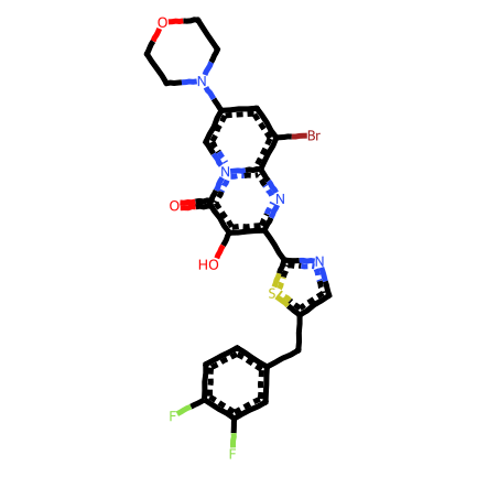 O=c1c(O)c(-c2ncc(Cc3ccc(F)c(F)c3)s2)nc2c(Br)cc(N3CCOCC3)cn12